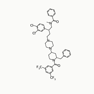 CN(CC(CCN1CCN(C2CCN(C(=O)c3cc(C(F)(F)F)cc(C(F)(F)F)c3)C(Cc3ccccc3)C2)CC1)c1ccc(Cl)c(Cl)c1)C(=O)c1ccccc1